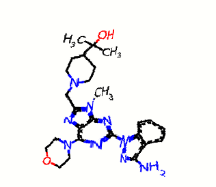 Cn1c(CN2CCC(C(C)(C)O)CC2)nc2c(N3CCOCC3)nc(-n3nc(N)c4ccccc43)nc21